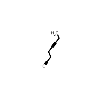 C#CCCC#CC[CH2]